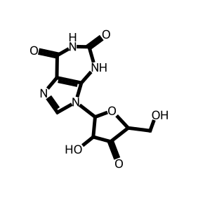 O=C1C(CO)OC(n2cnc3c(=O)[nH]c(=O)[nH]c32)C1O